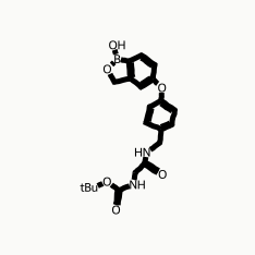 CC(C)(C)OC(=O)NCC(=O)NCc1ccc(Oc2ccc3c(c2)COB3O)cc1